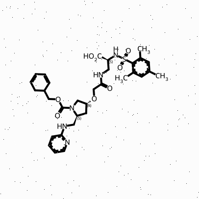 Cc1cc(C)c(S(=O)(=O)N[C@@H](CNC(=O)CO[C@@H]2C[C@@H](CNc3ccccn3)N(C(=O)OCC3C=CC=CC3)C2)C(=O)O)c(C)c1